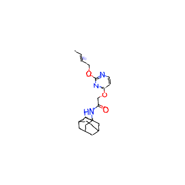 C/C=C/COc1nccc(OCC(=O)NC23CC4CC(CC(C4)C2)C3)n1